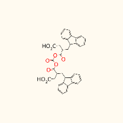 O=C(O)CC(CC1c2ccccc2-c2ccccc21)C(=O)OC(=O)OC(=O)C(CC(=O)O)CC1c2ccccc2-c2ccccc21